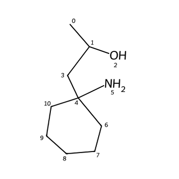 CC(O)CC1(N)CCCCC1